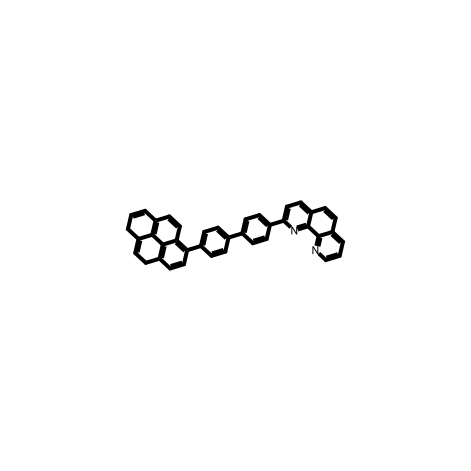 C1=Cc2ccc3c(-c4ccc(-c5ccc(-c6ccc7ccc8cccnc8c7n6)cc5)cc4)ccc4c3c2C(=CC4)C1